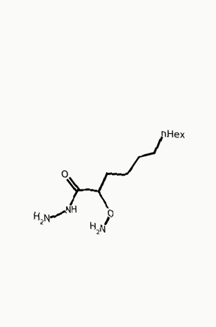 CCCCCCCCCCC(ON)C(=O)NN